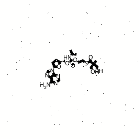 CC(C)NP(=O)(OCCSC(=O)C(C)(CO)CO)OC[C@H]1CC[C@@H](n2cnc3c(N)ncnc32)O1